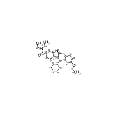 CCOc1ccc(Cc2nc3cc(C(=O)N(CC)CC)ccc3n2CC2CCCCC2)cc1